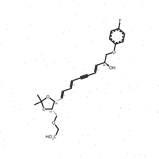 CC1(C)O[C@@H](COCC(=O)O)[C@@H](/C=C/C=C/C#C/C=C/[C@H](O)COc2ccc(F)cc2)O1